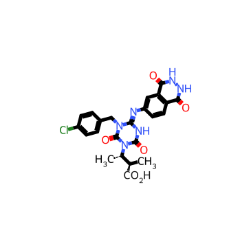 C[C@@H](C(=O)O)[C@H](C)n1c(=O)[nH]/c(=N\c2ccc3c(=O)[nH][nH]c(=O)c3c2)n(Cc2ccc(Cl)cc2)c1=O